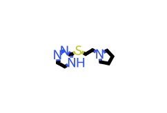 C1=NN=C(SCCN2CCCC2)NC1